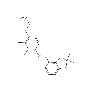 Cc1c(CCC(=O)O)ccc(OCc2cccc3c2CC(C)(C)O3)c1C